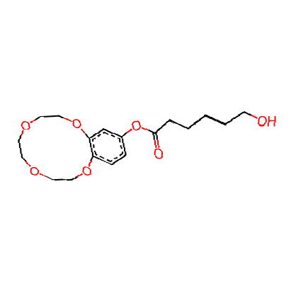 O=C(CCCCCO)Oc1ccc2c(c1)OCCOCCOCCO2